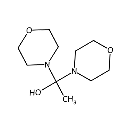 CC(O)(N1CCOCC1)N1CCOCC1